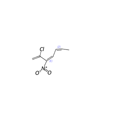 C=C(Cl)/C(=C\C=C/C)[N+](=O)[O-]